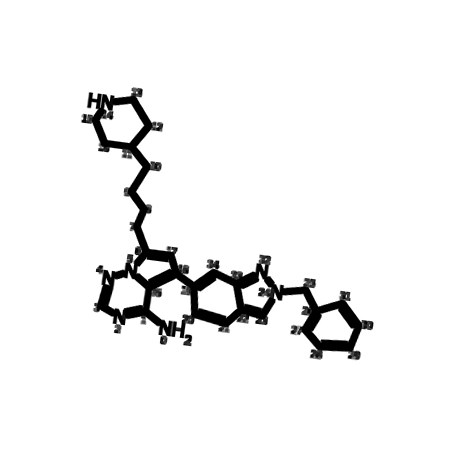 Nc1ncnn2c(CCCCC3CCNCC3)cc(-c3ccc4cn(Cc5ccccc5)nc4c3)c12